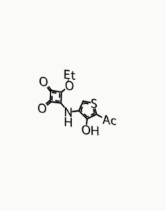 CCOc1c(Nc2csc(C(C)=O)c2O)c(=O)c1=O